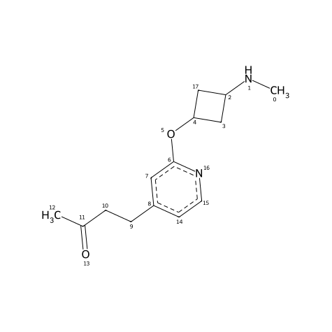 CNC1CC(Oc2cc(CCC(C)=O)ccn2)C1